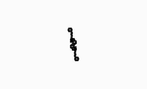 C(=C\c1ccccc1)/CCc1cc2ccc3c(c2s1)-c1ccc2cc(CC/C=C/c4ccccc4)sc2c1-3